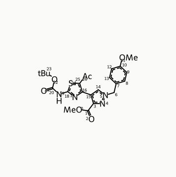 COC(=O)c1nn(Cc2ccc(OC)cc2)cc1-c1nc(NC(=O)OC(C)(C)C)sc1C(C)=O